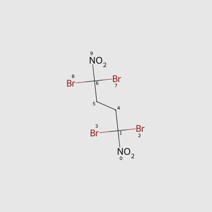 O=[N+]([O-])C(Br)(Br)CCC(Br)(Br)[N+](=O)[O-]